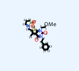 COCCn1c(=O)n(CCc2ccccc2)c(=O)c2c(C)c(CN3CCCS3(=O)=O)sc21